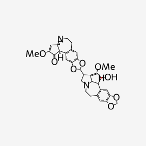 COC1=C[C@]23CCCN2CCc2cc4c(cc2[C@@H]3C1=O)OC(C1CN2CCc3cc5c(cc3[C@@H]3C(O)C(OC)=C1C32)OCO5)O4